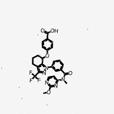 COc1nccc(N(C)C(=O)c2cccc(-n3nc(C(F)(F)F)c4c3C(Oc3ccc(C(=O)O)cc3)CCC4)c2)n1